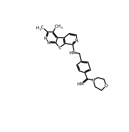 Cc1nnc2sc3c(NCc4ccc(C(=N)N5CCOCC5)cc4)nccc3c2c1C